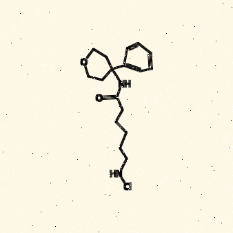 O=C(CCCCCNCl)NC1(c2ccccc2)CCOCC1